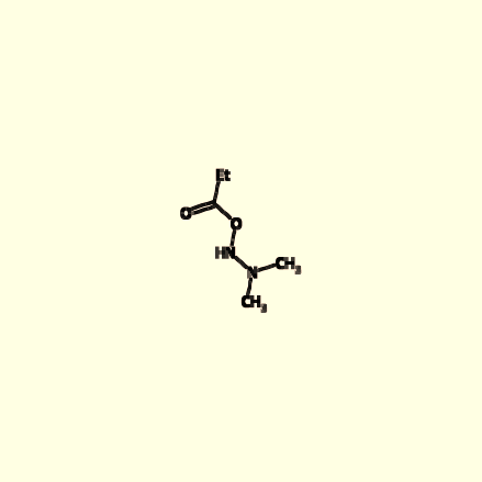 CCC(=O)ONN(C)C